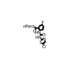 CCCCCC(=O)c1cc(F)ccc1NC(=O)Nc1ncc(Cl)s1